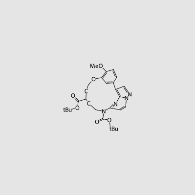 COc1ccc2cc1OCCC(C(=O)OC(C)(C)C)CCN(C(=O)OC(C)(C)C)c1ccn3ncc-2c3n1